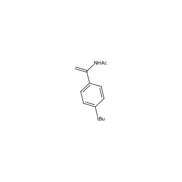 C=C(NC(C)=O)c1ccc(C(C)(C)C)cc1